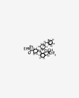 CCN(CC)C(=O)c1ccc(C(c2cccc3c2OC(C)(C)C3)N2CCN(Cc3ccccn3)CC2)cc1